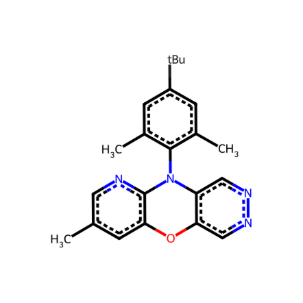 Cc1cnc2c(c1)Oc1cnncc1N2c1c(C)cc(C(C)(C)C)cc1C